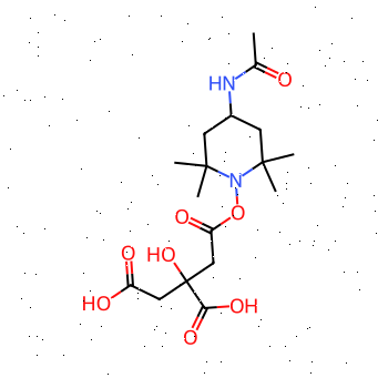 CC(=O)NC1CC(C)(C)N(OC(=O)CC(O)(CC(=O)O)C(=O)O)C(C)(C)C1